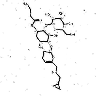 CN[C@@H](C)[C@@H](O)[C@H](OCCO)O[C@@H]1[C@@H](O)[C@H](O[C@@H]2CCC=C(CNCC3CC3)O2)[C@@H](N)C[C@H]1NC(=O)CCN